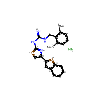 Br.COc1cccc(OC)c1CNC(=N)Nc1nc(-c2cc3ccccc3s2)cs1